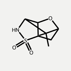 CC1(C)C2CC3C(O2)C1NS3(=O)=O